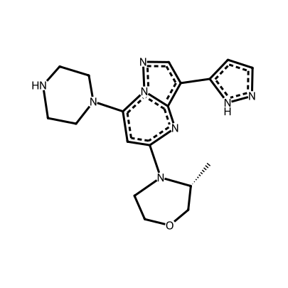 C[C@@H]1COCCN1c1cc(N2CCNCC2)n2ncc(-c3ccn[nH]3)c2n1